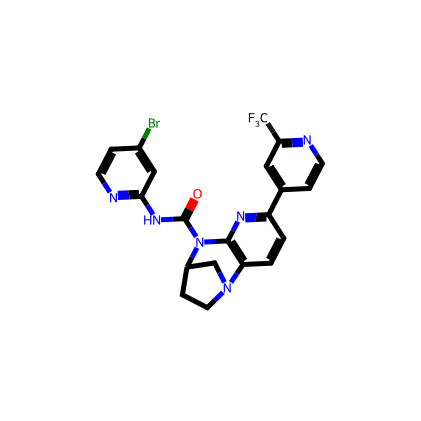 O=C(Nc1cc(Br)ccn1)N1c2nc(-c3ccnc(C(F)(F)F)c3)ccc2N2CCC1C2